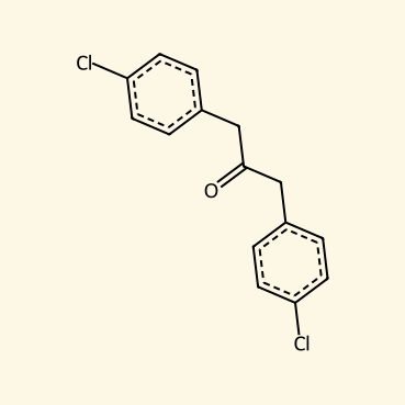 O=C(Cc1ccc(Cl)cc1)Cc1ccc(Cl)cc1